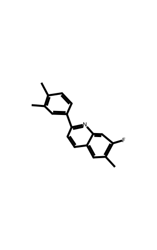 Cc1ccc(-c2ccc3cc(C)c(F)cc3n2)cc1C